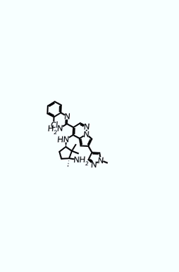 Cn1cc(-c2cc3c(N[C@@H]4CC[C@](C)(N)C4(C)C)c(/C(N)=N/c4ccccc4Cl)cnn3c2)cn1